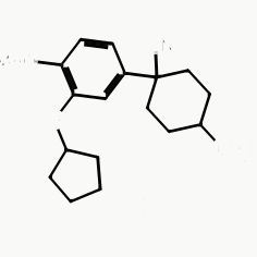 COc1ccc(C2(C#N)CCC(C(=O)O)CC2)cc1OC1CCCC1.O